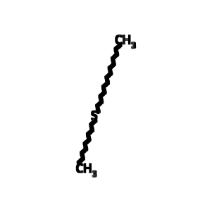 CCCCCCCCCCCCCCCCSCCCCCCCCCCC